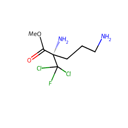 COC(=O)[C@@](N)(CCCN)C(F)(Cl)Cl